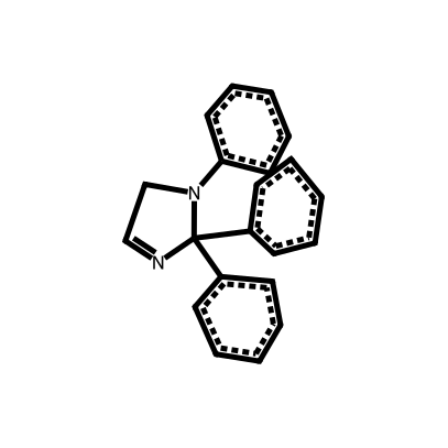 C1=NC(c2ccccc2)(c2ccccc2)N(c2ccccc2)C1